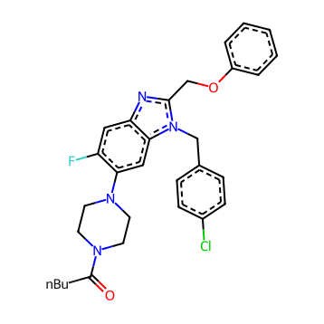 CCCCC(=O)N1CCN(c2cc3c(cc2F)nc(COc2ccccc2)n3Cc2ccc(Cl)cc2)CC1